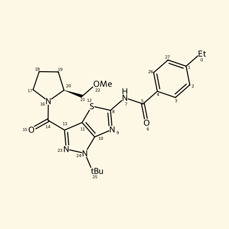 CCc1ccc(C(=O)Nc2nc3c(s2)c(C(=O)N2CCC[C@H]2COC)nn3C(C)(C)C)cc1